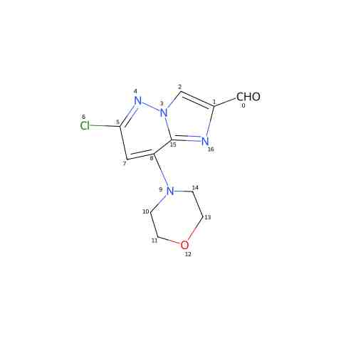 O=Cc1cn2nc(Cl)cc(N3CCOCC3)c2n1